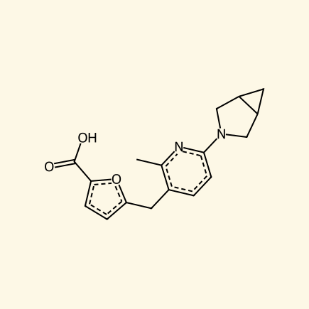 Cc1nc(N2CC3CC3C2)ccc1Cc1ccc(C(=O)O)o1